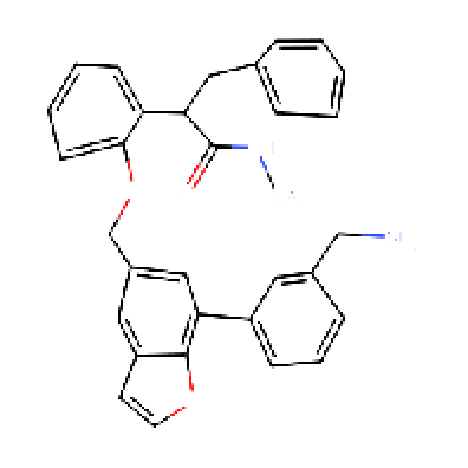 CC(=O)ONC(=O)C(Cc1ccccc1)c1ccccc1OCc1cc(-c2cccc(CN)c2)c2occc2c1